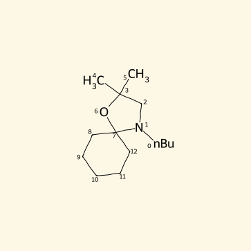 CCCCN1CC(C)(C)OC12CCCCC2